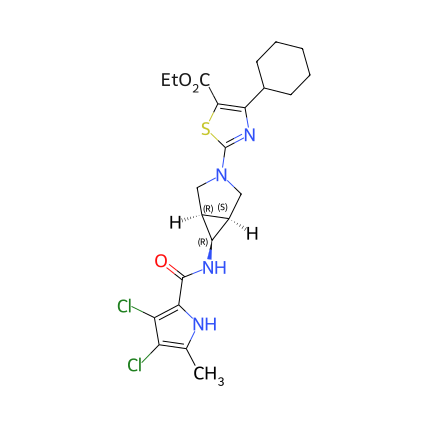 CCOC(=O)c1sc(N2C[C@@H]3[C@H](C2)[C@@H]3NC(=O)c2[nH]c(C)c(Cl)c2Cl)nc1C1CCCCC1